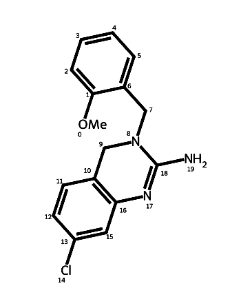 COc1ccccc1CN1Cc2ccc(Cl)cc2N=C1N